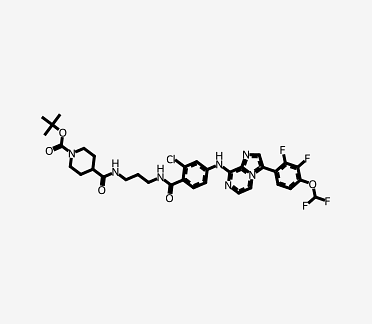 CC(C)(C)OC(=O)N1CCC(C(=O)NCCCNC(=O)c2ccc(Nc3nccn4c(-c5ccc(OC(F)F)c(F)c5F)cnc34)cc2Cl)CC1